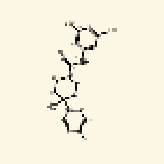 Cc1ccc(C2(O)CCN(C(=O)Nc3cc(F)cc(Cl)c3)CC2)cc1